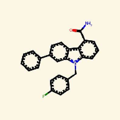 NC(=O)c1cccc2c1c1[c]cc(-c3ccccc3)cc1n2Cc1ccc(F)cc1